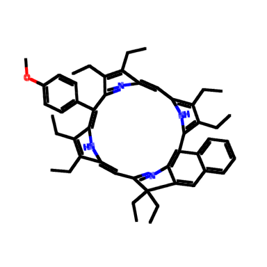 CCC1=C(CC)c2nc1cc1[nH]c(c(CC)c1CC)c1c3nc(cc4[nH]c(c(CC)c4CC)c2-c2ccc(OC)cc2)C(CC)(CC)c3cc2ccccc21